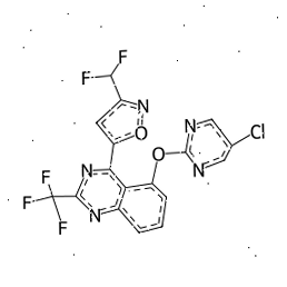 FC(F)c1cc(-c2nc(C(F)(F)F)nc3cccc(Oc4ncc(Cl)cn4)c23)on1